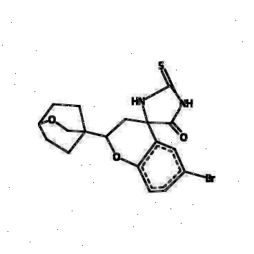 O=C1NC(=S)NC12CC(C13CCC(CC1)OC3)Oc1ccc(Br)cc12